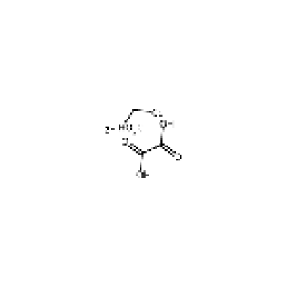 O=C(O)C(=O)O.O=C(O)[CH2][Cd].[Zn]